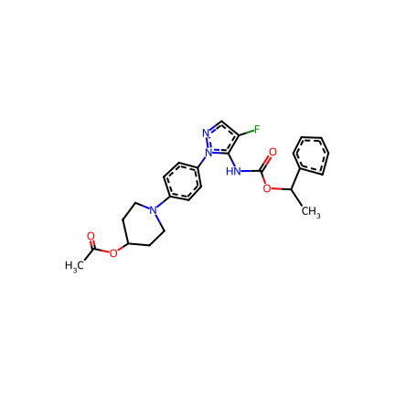 CC(=O)OC1CCN(c2ccc(-n3ncc(F)c3NC(=O)OC(C)c3ccccc3)cc2)CC1